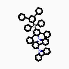 c1ccc(-c2cc(-c3ccccc3)cc([Si](c3ccccc3)(c3ccccc3)c3cc(-c4ccccc4)c(-n4c5ccccc5c5c(-n6c7ccccc7c7ccccc76)cccc54)c(-c4ccccc4)c3)c2)cc1